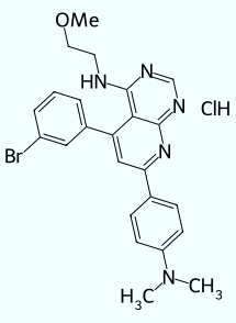 COCCNc1ncnc2nc(-c3ccc(N(C)C)cc3)cc(-c3cccc(Br)c3)c12.Cl